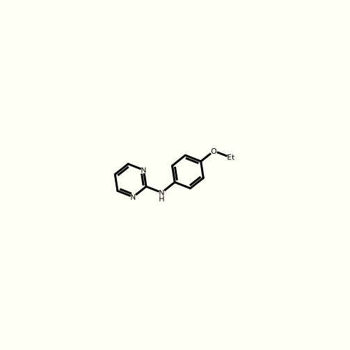 CCOc1ccc(Nc2ncccn2)cc1